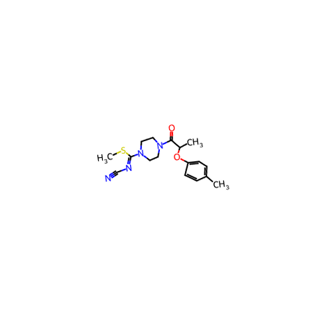 CS/C(=N\C#N)N1CCN(C(=O)C(C)Oc2ccc(C)cc2)CC1